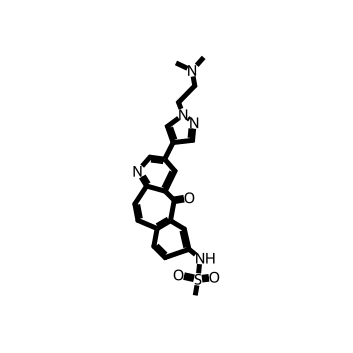 CN(C)CCn1cc(-c2cnc3ccc4ccc(NS(C)(=O)=O)cc4c(=O)c3c2)cn1